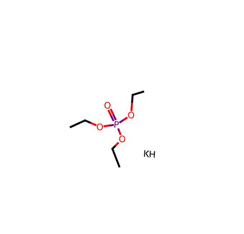 CCOP(=O)(OCC)OCC.[KH]